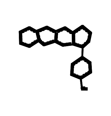 CC(C)(C)c1ccc(-c2cccc3cc4cc5ccccc5cc4cc23)cc1